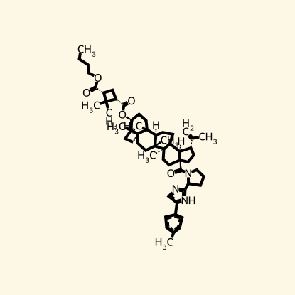 C=C(C)[C@@H]1CC[C@]2(C(=O)N3CCCC3c3ncc(-c4ccc(C)cc4)[nH]3)CC[C@]3(C)C(CC[C@@H]4[C@@]5(C)CC[C@H](OC(=O)[C@H]6C[C@@H](C(=O)OCCCC)C6(C)C)C6(C)CC[C@]65CC[C@]43C)[C@@H]12